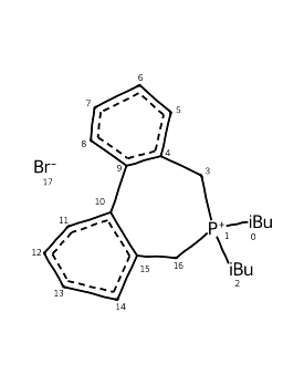 CCC(C)[P+]1(C(C)CC)Cc2ccccc2-c2ccccc2C1.[Br-]